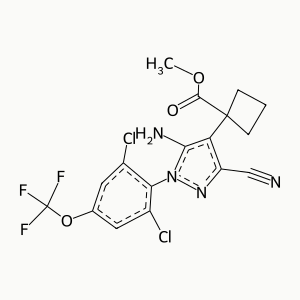 COC(=O)C1(c2c(C#N)nn(-c3c(Cl)cc(OC(F)(F)F)cc3Cl)c2N)CCC1